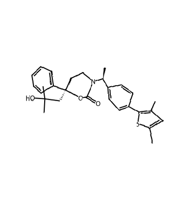 Cc1cc(C)c(-c2ccc([C@H](C)N3CC[C@](CC(C)(C)O)(c4ccccc4)OC3=O)cc2)s1